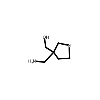 NCC1(CO)CC[N]C1